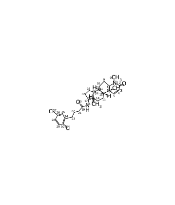 CN1C(=O)C=C[C@@]2(C)C1CC[C@@H]1[C@H]2CC[C@]2(C)C(NC(=O)CCCc3cc(Cl)ccc3Cl)CC[C@@H]12